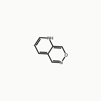 [C]1=CNC2=CON=CC2=C1